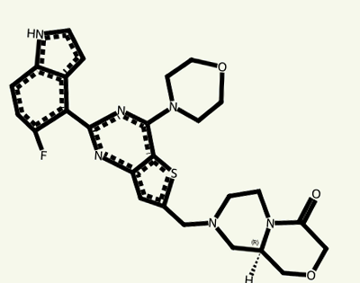 O=C1COC[C@H]2CN(Cc3cc4nc(-c5c(F)ccc6[nH]ccc56)nc(N5CCOCC5)c4s3)CCN12